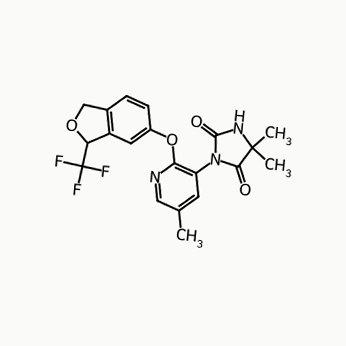 Cc1cnc(Oc2ccc3c(c2)C(C(F)(F)F)OC3)c(N2C(=O)NC(C)(C)C2=O)c1